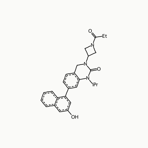 CCC(=O)N1CC(N2Cc3ccc(-c4cc(O)cc5ccccc45)cc3N(C(C)C)C2=O)C1